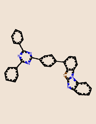 c1ccc(-c2nc(-c3ccccc3)nc(-c3ccc(-c4cccc5c4sc4nc6ccccc6n45)cc3)n2)cc1